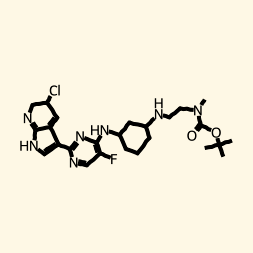 CN(CCNC1CCCC(Nc2nc(-c3c[nH]c4c3=CC(Cl)CN=4)ncc2F)C1)C(=O)OC(C)(C)C